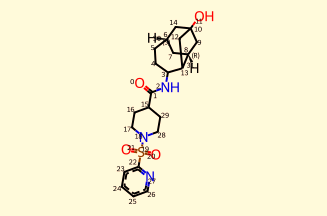 O=C(NC1CC[C@H]2C[C@@H]3CC(O)(CC13)C2)C1CCN(S(=O)(=O)c2ccccn2)CC1